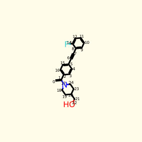 C=C(c1ccc(C#Cc2ccccc2F)cc1)N1CCC(CO)CC1